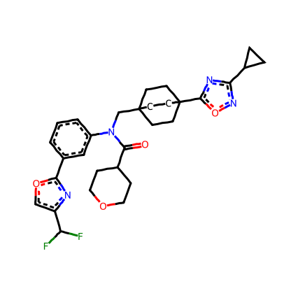 O=C(C1CCOCC1)N(CC12CCC(c3nc(C4CC4)no3)(CC1)CC2)c1cccc(-c2nc(C(F)F)co2)c1